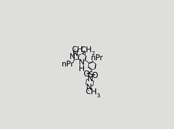 C=C1C=C(c2cc(S(=O)(=O)N3CCN(C)CC3)ccc2CCC)Nc2c(CCC)nn(C)c21